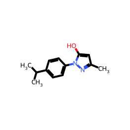 Cc1cc(O)n(-c2ccc(C(C)C)cc2)n1